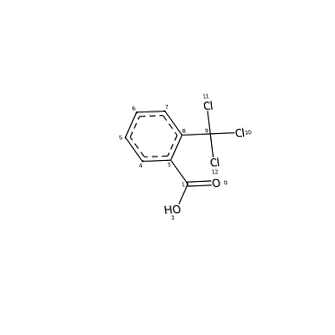 O=C(O)c1ccccc1C(Cl)(Cl)Cl